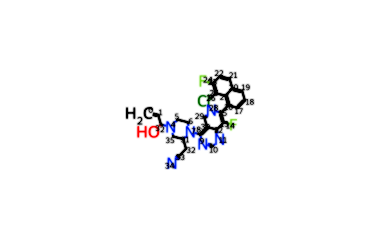 C=CC(O)N1CCN(c2ncnc3c(F)c(-c4cccc5ccc(F)c(Cl)c45)ncc23)C(CC#N)C1